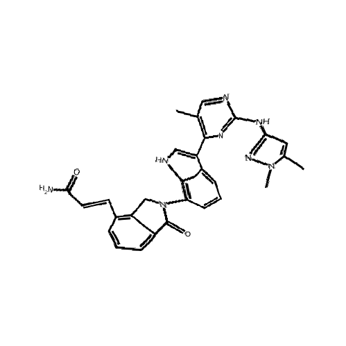 Cc1cnc(Nc2cc(C)n(C)n2)nc1-c1c[nH]c2c(N3Cc4c(/C=C/C(N)=O)cccc4C3=O)cccc12